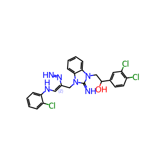 N=N/C(=C\Nc1ccccc1Cl)Cn1c(=N)n(CC(O)c2ccc(Cl)c(Cl)c2)c2ccccc21